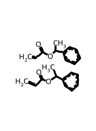 C=CC(=O)OC(C)c1ccccc1.C=CC(=O)OC(C)c1ccccc1